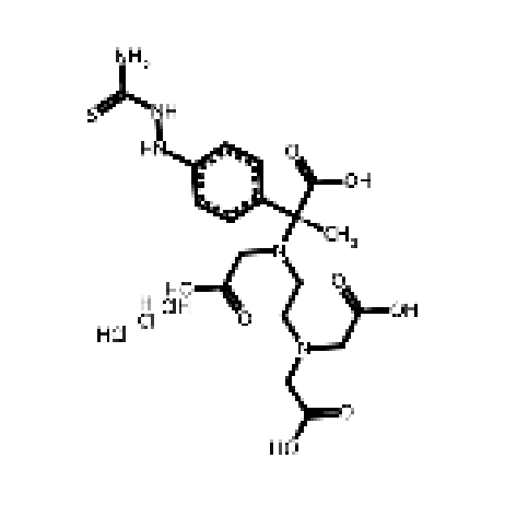 C[C@](C(=O)O)(c1ccc(NNC(N)=S)cc1)N(CCN(CC(=O)O)CC(=O)O)CC(=O)O.Cl.Cl.Cl